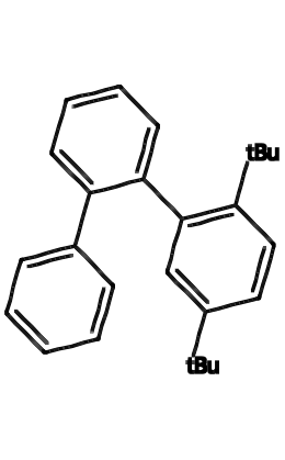 CC(C)(C)c1ccc(C(C)(C)C)c(-c2ccccc2-c2ccccc2)c1